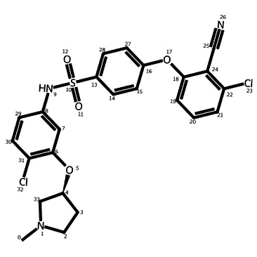 CN1CC[C@H](Oc2cc(NS(=O)(=O)c3ccc(Oc4cccc(Cl)c4C#N)cc3)ccc2Cl)C1